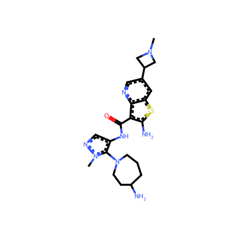 CN1CC(c2cnc3c(C(=O)Nc4cnn(C)c4N4CCCC(N)CC4)c(N)sc3c2)C1